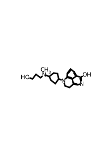 CN(CCCO)C1CCC(N2CCc3cnc(O)c4cccc2c34)CC1